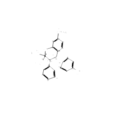 COc1ccc2c(c1)OC(C)(C)[C@H](c1ccccc1)[C@H]2c1ccc(O)cc1